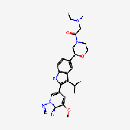 CCN(C)CC(=O)N1CCOC(c2ccc3[nH]c(-c4cc(OC)c5ncnn5c4)c(C(C)C)c3c2)C1